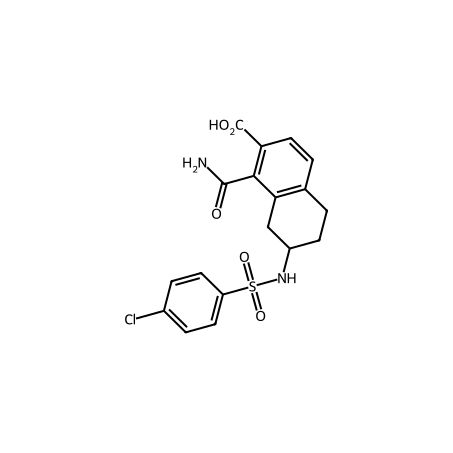 NC(=O)c1c(C(=O)O)ccc2c1CC(NS(=O)(=O)c1ccc(Cl)cc1)CC2